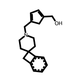 OCC1=CC=C(CN2CCC3(CC2)Cc2ccccc23)C1